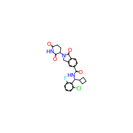 O=C1CCC(N2Cc3cc(C(=O)N[C@H](c4c(F)cccc4Cl)C4CCC4)ccc3C2=O)C(=O)N1